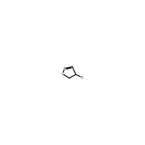 ClC1[C]=NSC1